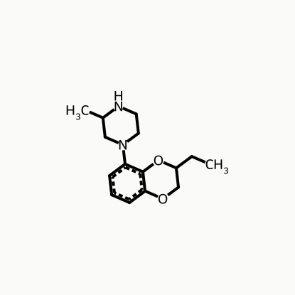 CCC1COc2cccc(N3CCNC(C)C3)c2O1